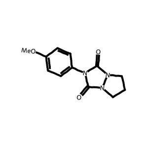 COc1ccc(-n2c(=O)n3n(c2=O)CCC3)cc1